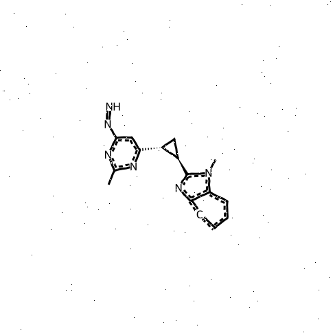 Cc1nc(N=N)cc([C@@H]2C[C@H]2c2nc3ccccc3n2C)n1